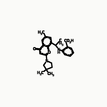 Cc1cc(C(C)Nc2ccccc2C(=O)O)c2oc(N3CCC(C)(C)C3)cc(=O)c2c1